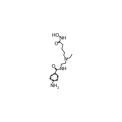 CCN(CCCCC(=O)NO)CCNC(=O)c1ccc(N)cc1